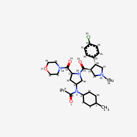 CC1CCC(N(C(=O)C(C)C)C2CC(C(=O)N3CCOCC3)N(C(=O)[C@@H]3CN(C(C)(C)C)C[C@H]3c3ccc(Cl)cc3)C2)CC1